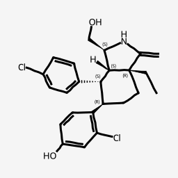 C=C1N[C@H](CO)[C@H]2[C@@H](c3ccc(Cl)cc3)[C@H](c3ccc(O)cc3Cl)CC[C@@]12CC